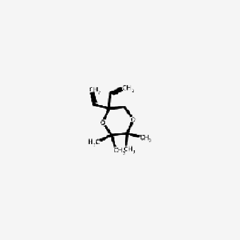 C=CC1(C=C)COC(C)(C)C(C)(C)O1